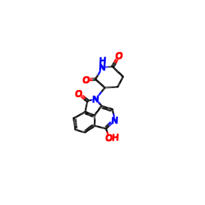 O=C1CCC(N2C(=O)c3cccc4c(O)ncc2c34)C(=O)N1